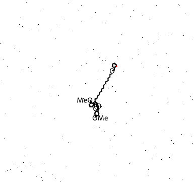 COc1ccc(CS(=O)(=O)n2cc(C=CCCCCCCCCCCCCCCOCc3ccccc3)c3c(OC)cccc32)cc1